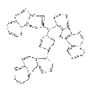 c1ccc2c(c1)ccc1ccc(N(c3ccc(-c4cccc5c4ccc4ccccc45)cc3)c3cccc4c3oc3c5ccccc5ccc43)cc12